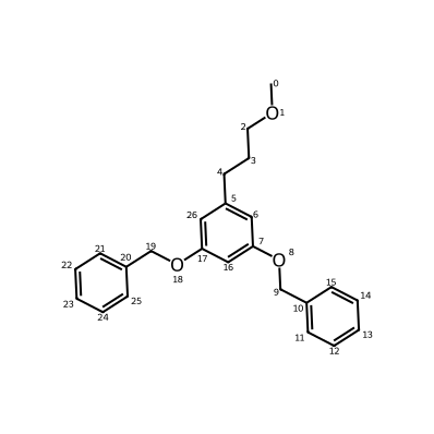 COCCCc1cc(OCc2ccccc2)cc(OCc2ccccc2)c1